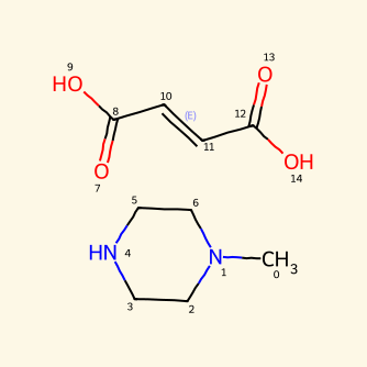 CN1CCNCC1.O=C(O)/C=C/C(=O)O